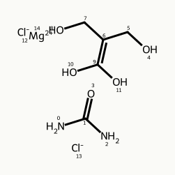 NC(N)=O.OCC(CO)=C(O)O.[Cl-].[Cl-].[Mg+2]